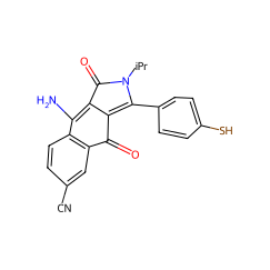 CC(C)N1C(=O)C2=C(N)c3ccc(C#N)cc3C(=O)C2=C1c1ccc(S)cc1